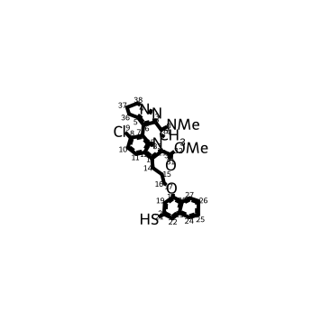 CNCc1nn2c(c1-c1c(Cl)ccc3c(CCCOc4cc(S)cc5ccccc45)c(C(=O)OC)n(C)c13)CCC2